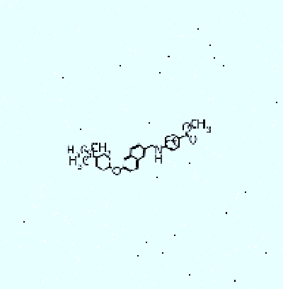 COC(=O)C12CCC(NCc3ccc4cc(OC5CCC([Si](C)(C)C)CC5)ccc4c3)(CC1)CC2